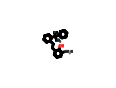 CC(C)(c1ccccc1)c1ccccc1CCc1cccc(S(=O)(=O)O)c1O